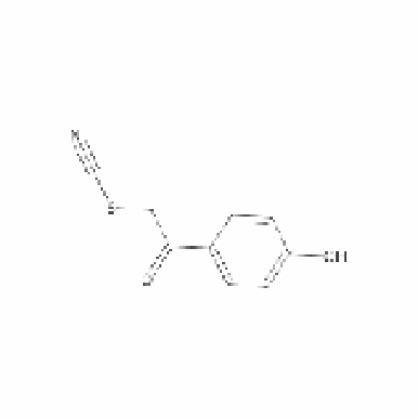 N#CSCC(=O)c1ccc(O)cc1